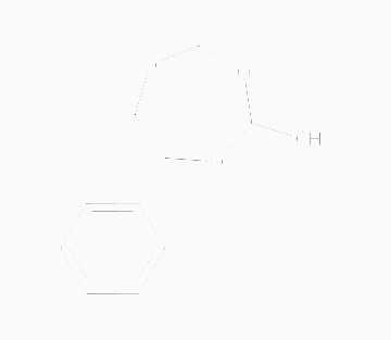 CC1OCOC[C@@H](c2ccccc2)O1